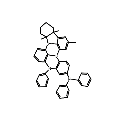 Cc1cc2c3c(c1)C1(C)CCCCC1(C)N3c1cccc3c1B2c1ccc(N(c2ccccc2)c2ccccc2)cc1N3c1ccccc1